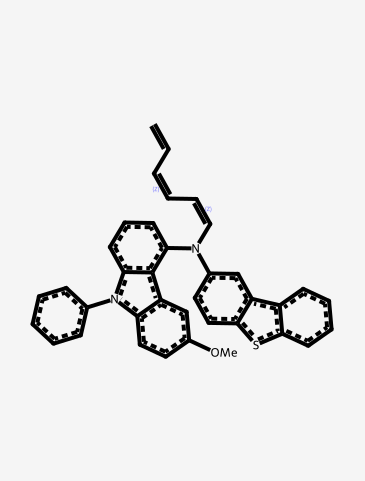 C=C/C=C\C=C/N(c1ccc2sc3ccccc3c2c1)c1cccc2c1c1cc(OC)ccc1n2-c1ccccc1